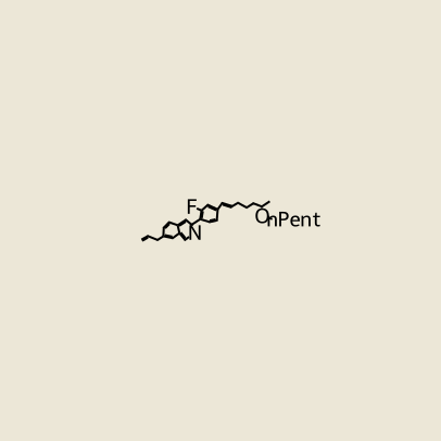 C=CCc1ccc2cc(-c3ccc(/C=C/CCCC(C)OCCCCC)cc3F)ncc2c1